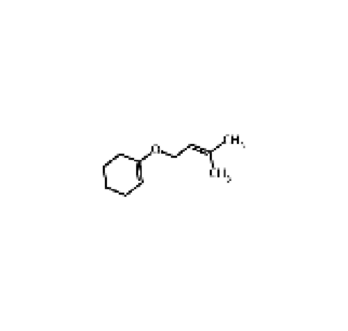 CC(C)=CCOC1=CCCCC1